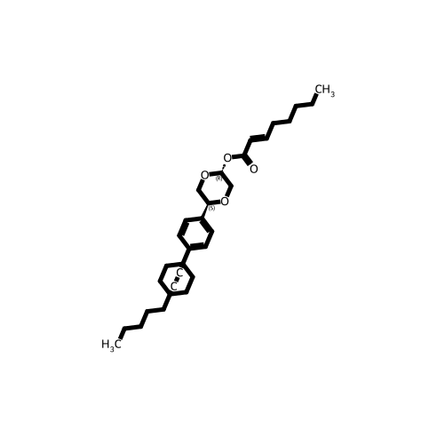 CCCCCC=CC(=O)O[C@@H]1CO[C@@H](c2ccc(C34CCC(CCCCC)(CC3)CC4)cc2)CO1